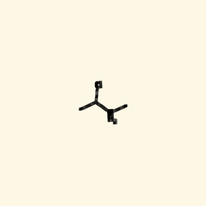 C[SiH2]C(C)Cl